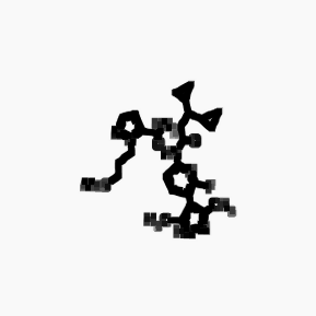 CSCCCn1nccc1C(=O)N[C@@H](C(=O)Nc1ccc(-c2c(C)n[nH]c2C)c(F)n1)C(C1CC1)C1CC1